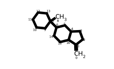 C=C1CCC2CC(C3(C)CCCCC3)CCC12